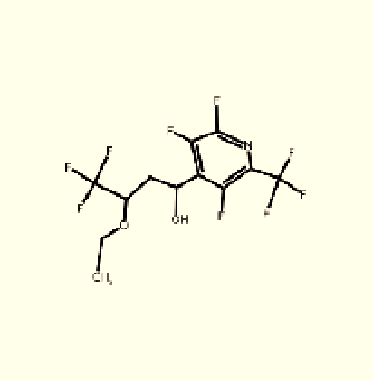 CCOC(CC(O)c1c(F)c(F)nc(C(F)(F)F)c1F)C(F)(F)F